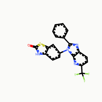 O=c1[nH]c2ccc(-n3c(-c4ccccc4)nc4ccc(C(F)(F)F)nc43)cc2s1